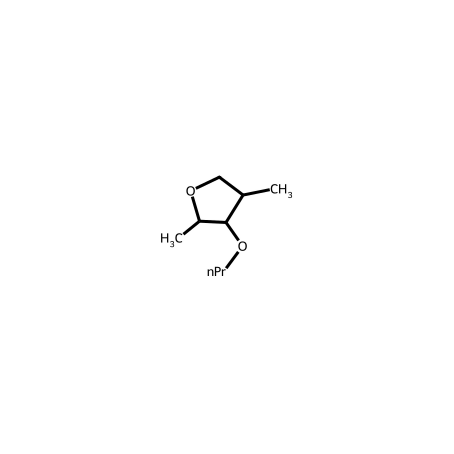 CCCOC1C(C)COC1C